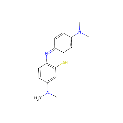 BN(C)c1ccc(/N=C2/C=CC(N(C)C)=CC2)c(S)c1